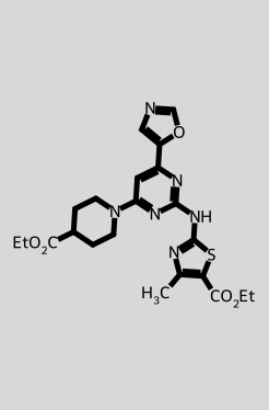 CCOC(=O)c1sc(Nc2nc(-c3cnco3)cc(N3CCC(C(=O)OCC)CC3)n2)nc1C